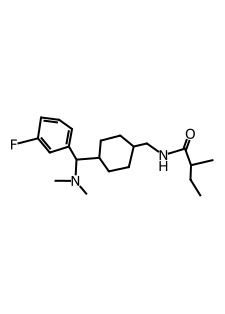 CCC(C)C(=O)NCC1CCC(C(c2cccc(F)c2)N(C)C)CC1